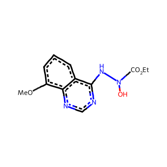 CCOC(=O)N(O)Nc1ncnc2c(OC)cccc12